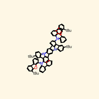 CC(C)(C)c1ccc2c(c1)c1c(N(c3ccccc3-c3ccccc3)c3cccc4c3oc3c(C(C)(C)C)cccc34)ccc3c4cc5c(cc4n2c31)c1ccc(N(c2ccccc2-c2ccccc2)c2cccc3c2oc2c(C(C)(C)C)cccc23)c2c3cc(C(C)(C)C)ccc3n5c12